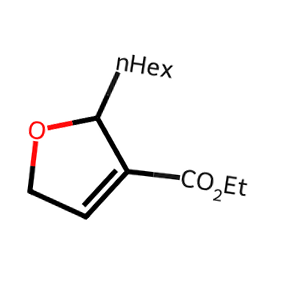 CCCCCCC1OCC=C1C(=O)OCC